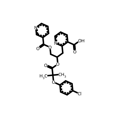 CC(C)(Oc1ccc(Cl)cc1)C(=O)OC(COC(=O)c1cccnc1)Cc1ncccc1C(=O)O